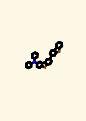 c1ccc(N(c2ccccc2)c2ccc3sc4ccc(-c5ccc6c(c5)sc5ccccc56)cc4c3c2)cc1